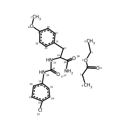 CCOC(=O)CC.COc1ccc(CC(NC(=O)Nc2ccc(Cl)cc2)C(N)=O)cc1